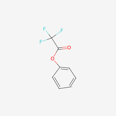 O=C(Oc1cc[c]cc1)C(F)(F)F